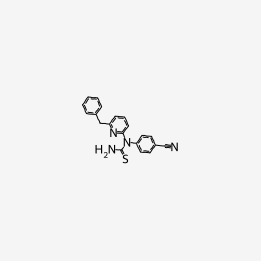 N#Cc1ccc(N(C(N)=S)c2cccc(Cc3ccccc3)n2)cc1